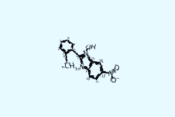 Cc1ccccc1-c1nc2ccc([N+](=O)[O-])cc2n1O